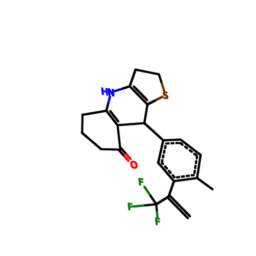 C=C(c1cc(C2C3=C(CCS3)NC3=C2C(=O)CCC3)ccc1C)C(F)(F)F